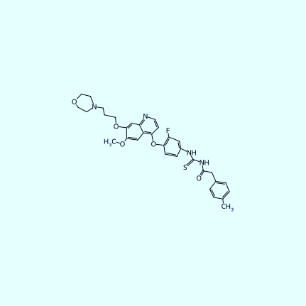 COc1cc2c(Oc3ccc(NC(=S)NC(=O)Cc4ccc(C)cc4)cc3F)ccnc2cc1OCCCN1CCOCC1